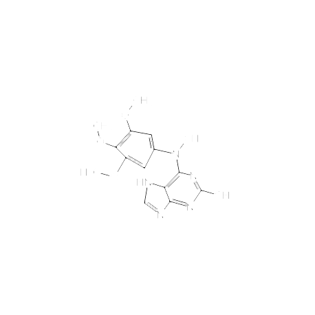 COc1cc(N(C)c2nc(C)nc3nc[nH]c23)cc(OC)c1OC